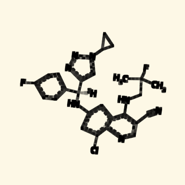 [2H][C@](Nc1cc(Cl)c2ncc(C#N)c(NCC(C)(C)F)c2c1)(c1ccc(F)cc1)c1cn(C2CC2)nn1